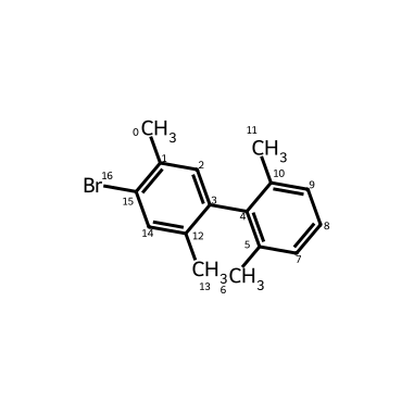 Cc1cc(-c2c(C)cccc2C)c(C)cc1Br